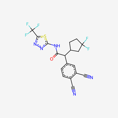 N#Cc1ccc(C(C(=O)Nc2nnc(C(F)(F)F)s2)C2CCC(F)(F)C2)cc1C#N